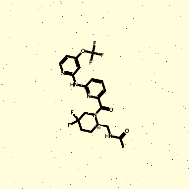 CC(=O)NC[C@H]1CCC(F)(F)CN1C(=O)c1cccc(Nc2cc(OC(F)(F)F)ccn2)n1